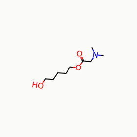 CN(C)CC(=O)OCCCCCO